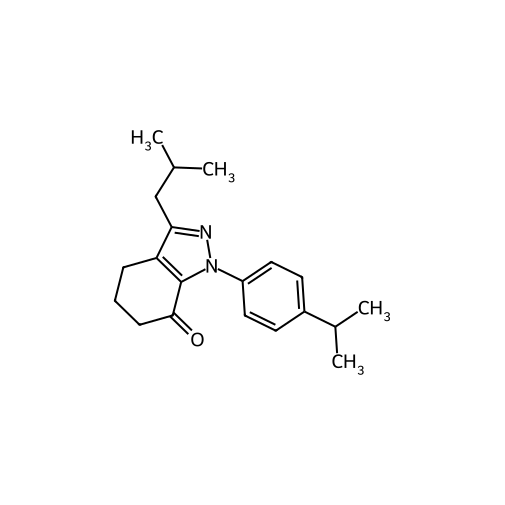 CC(C)Cc1nn(-c2ccc(C(C)C)cc2)c2c1CCCC2=O